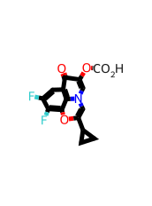 O=C(O)Oc1cn2c3c(c(F)c(F)cc3c1=O)OC(C1CC1)=C2